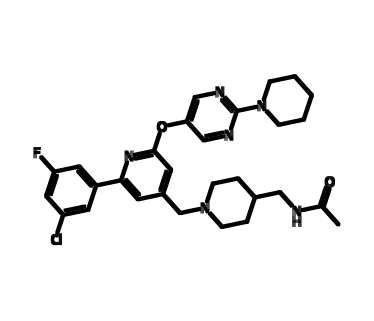 CC(=O)NCC1CCN(Cc2cc(Oc3cnc(N4CCCCC4)nc3)nc(-c3cc(F)cc(Cl)c3)c2)CC1